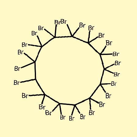 BrC1C(Br)(Br)C(Br)(Br)C(Br)(Br)C(Br)(Br)C(Br)(Br)C(Br)(Br)C(Br)(Br)C(Br)(Br)C(Br)(Br)C(Br)(Br)C(Br)(Br)C1(Br)Br